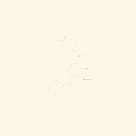 O=C(c1ncc(Nc2ccc(F)c(C(F)(F)F)c2)c2c1C1CCC2C1)N1CCS(=O)(=O)CC1